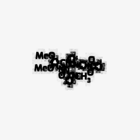 COc1ccc(Cn2c(C#N)c(-c3cn([C@H]4CC[C@@H](N5C(=O)c6ccccc6C5=O)CC4)c4ccccc34)n(-c3cn(C)c4ccccc34)c2=O)c(OC)c1